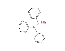 Br.c1ccc(CN(c2ccccc2)c2ccccc2)cc1